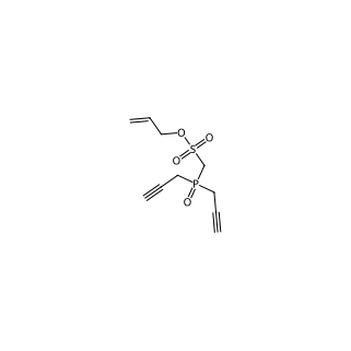 C#CCP(=O)(CC#C)CS(=O)(=O)OCC=C